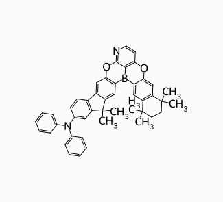 CC1(C)CCC(C)(C)c2cc3c(cc21)Oc1ccnc2c1B3c1cc3c(cc1O2)-c1ccc(N(c2ccccc2)c2ccccc2)cc1C3(C)C